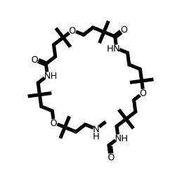 CNCCC(C)(C)OCCC(C)(C)CNC(=O)CCC(C)(C)OCCC(C)(C)C(=O)NCCCC(C)(C)OCCC(C)(C)CNC=O